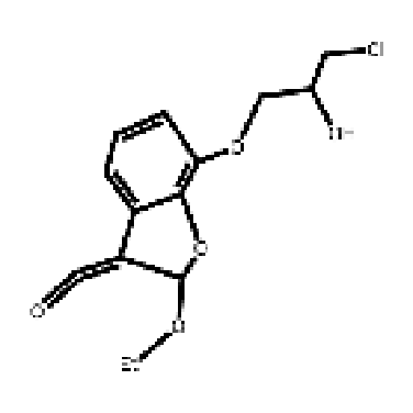 CCOC1Oc2c(OCC(O)CCl)cccc2C1=C=O